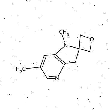 Cc1cnc2c(c1)N(C)C1(COC1)C2